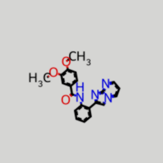 COc1ccc(C(=O)Nc2ccccc2-c2cn3cccnc3n2)cc1OC